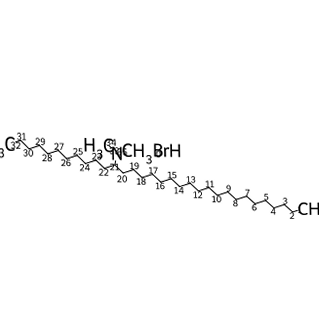 Br.CCCCCCCCCCCCCCCCCCCCC(CCCCCCCCCCC)N(C)C